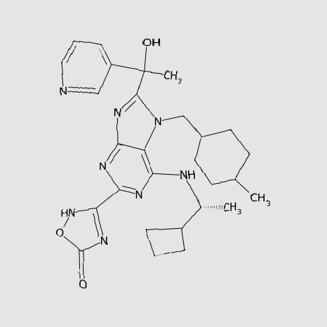 CC1CCC(Cn2c(C(C)(O)c3cccnc3)nc3nc(-c4nc(=O)o[nH]4)nc(N[C@H](C)C4CCC4)c32)CC1